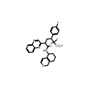 O=C(NC1CCCC2=C1C=COC2)C(CC(c1ccc(F)cc1)C(F)(F)C(=O)O)c1cnc2ccccc2n1